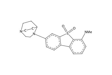 [11CH3]Nc1cccc2c1S(=O)(=O)c1cc(N3CCN4CCC3CC4)ccc1-2